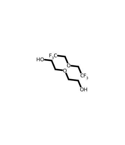 FC(F)(F)COCC(F)(F)F.OCCOCCO